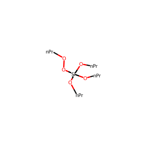 CCCOO[Si](OCCC)(OCCC)OCCC